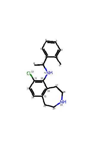 Cc1ccccc1C(C)Nc1c(Cl)ccc2c1CCNCC2